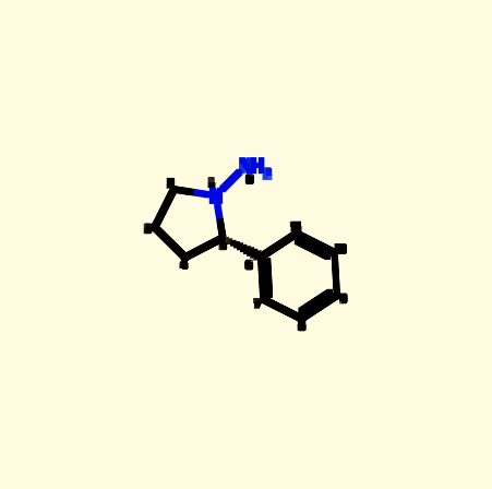 NN1CCC[C@H]1c1ccccc1